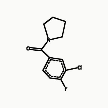 O=C(c1ccc(F)c(Cl)c1)N1CCCC1